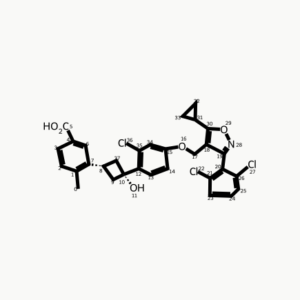 Cc1ccc(C(=O)O)cc1[C@H]1C[C@](O)(c2ccc(OCc3c(-c4c(Cl)cccc4Cl)noc3C3CC3)cc2Cl)C1